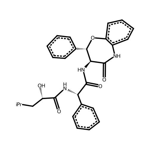 CC(C)C[C@H](O)C(=O)N[C@H](C(=O)N[C@@H]1C(=O)Nc2ccccc2O[C@H]1c1ccccc1)c1ccccc1